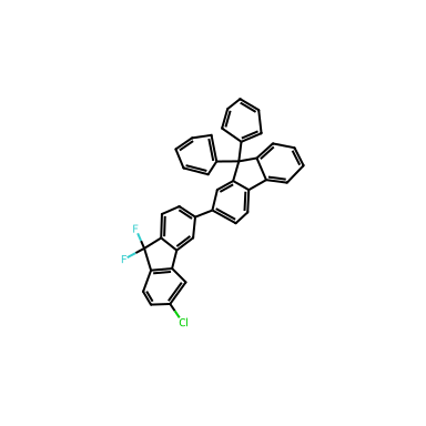 FC1(F)c2ccc(Cl)cc2-c2cc(-c3ccc4c(c3)C(c3ccccc3)(c3ccccc3)c3ccccc3-4)ccc21